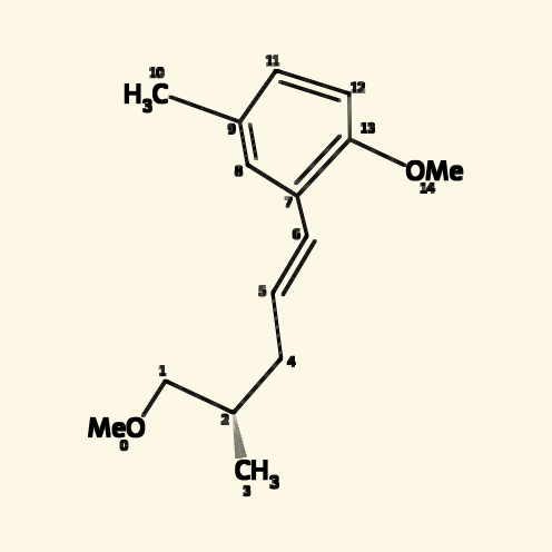 COC[C@@H](C)C/C=C/c1cc(C)ccc1OC